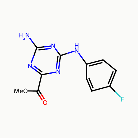 COC(=O)c1nc(N)nc(Nc2ccc(F)cc2)n1